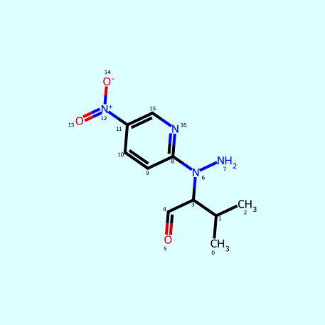 CC(C)C(C=O)N(N)c1ccc([N+](=O)[O-])cn1